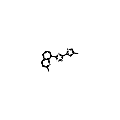 Cc1csc(-c2noc(-c3cccc4ccc(C)nc34)n2)c1